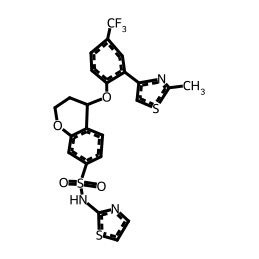 Cc1nc(-c2cc(C(F)(F)F)ccc2OC2CCOc3cc(S(=O)(=O)Nc4nccs4)ccc32)cs1